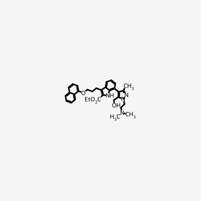 CCOC(=O)c1[nH]c2c(-c3c(C)nn(CCN(C)C)c3CO)cccc2c1CCCOc1cccc2ccccc12